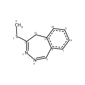 CSC1=NN=Cc2ccccc2C1